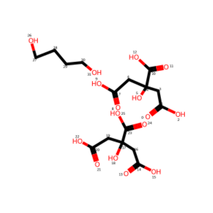 O=C(O)CC(O)(CC(=O)O)C(=O)O.O=C(O)CC(O)(CC(=O)O)C(=O)O.OCCCCO